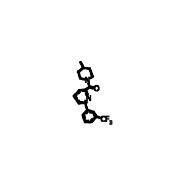 CC1CCN(C(=O)c2cccc(-c3cccc(C(F)(F)F)c3)n2)CC1